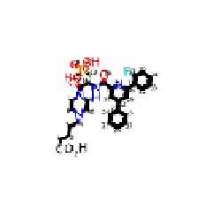 O=C(O)CCCCN1CCN(C(=O)[C@H](CP(=O)(O)O)NC(=O)c2cc(-c3ccccc3)cc(-c3ccccc3F)n2)CC1